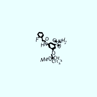 COC(C)(C)COc1cc(NC(=O)Cc2ccccc2F)cc(S(N)(=O)=O)c1